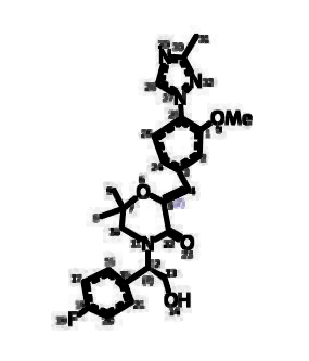 COc1cc(/C=C2\OC(C)(C)CN([C@@H](CO)c3ccc(F)cc3)C2=O)ccc1-n1cnc(C)n1